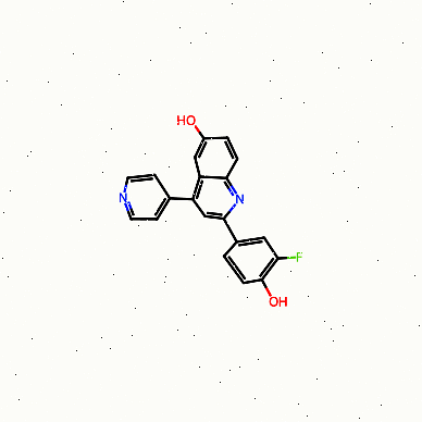 Oc1ccc2nc(-c3ccc(O)c(F)c3)cc(-c3ccncc3)c2c1